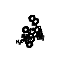 CC(O)C(Cc1ccccc1)(NC(Cc1ccccc1)C(=O)N(C)C)C(C(N)=O)C(NC(=O)c1ccc2ccccc2n1)C(N)=O